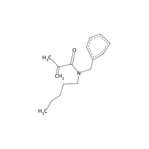 C=C(C)C(=O)N(CCCCC)Cc1ccccc1